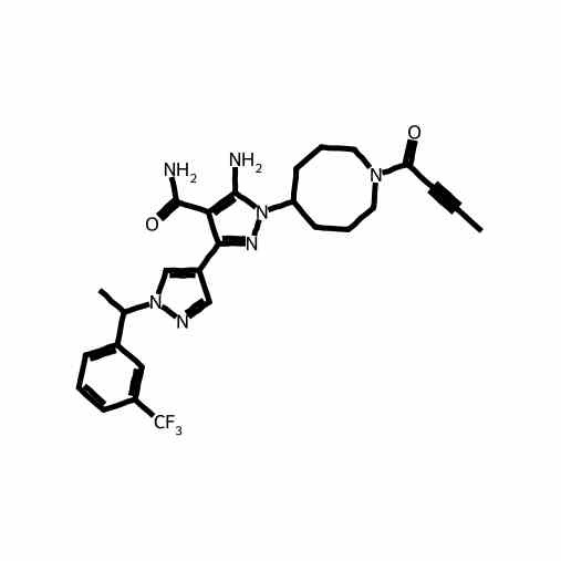 CC#CC(=O)N1CCCC(n2nc(-c3cnn(C(C)c4cccc(C(F)(F)F)c4)c3)c(C(N)=O)c2N)CCC1